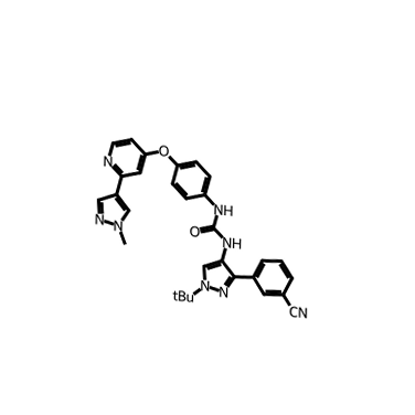 Cn1cc(-c2cc(Oc3ccc(NC(=O)Nc4cn(C(C)(C)C)nc4-c4cccc(C#N)c4)cc3)ccn2)cn1